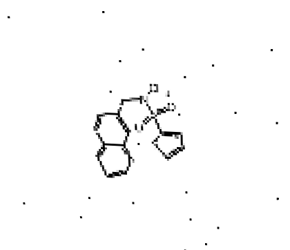 CN(Cc1ccc2cccnc2c1)S(=O)(=O)c1cccs1